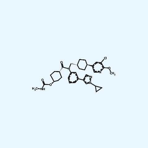 CNC(=O)O[C@H]1CC[C@H](C(=O)N(C[C@H]2CC[C@H](c3cnc(OC)c(Cl)c3)CC2)c2cccc(-c3cnn(C4CC4)c3)c2)CC1